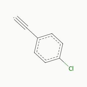 [C]#Cc1ccc(Cl)cc1